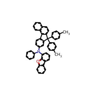 Cc1ccc(C2(c3ccc(C)cc3)c3cc(N(c4ccccc4)c4cccc5c4oc4ccccc45)ccc3-c3c2ccc2ccccc32)cc1